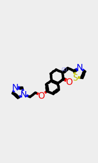 O=C1/C(=C\c2nccs2)CCc2cc(OCCn3ccnc3)ccc21